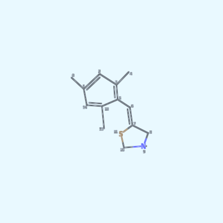 Cc1cc(C)c(C=C2C[N]CS2)c(C)c1